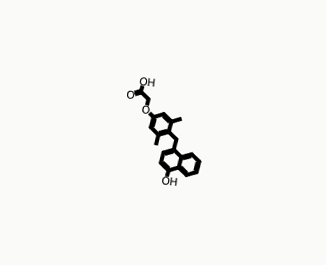 Cc1cc(OCC(=O)O)cc(C)c1Cc1ccc(O)c2ccccc12